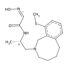 CSc1cccc2c1CN(C[C@H](C)NC(=O)/C=N\O)CCCC2